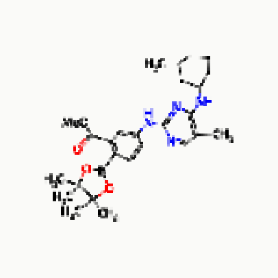 COC(=O)c1cc(Nc2ncc(C)c(NC3CCCC(C)C3)n2)ccc1B1OC(C)(C)C(C)(C)O1